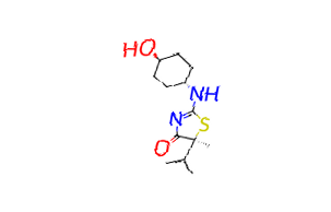 CC(C)[C@]1(C)SC(N[C@H]2CC[C@H](O)CC2)=NC1=O